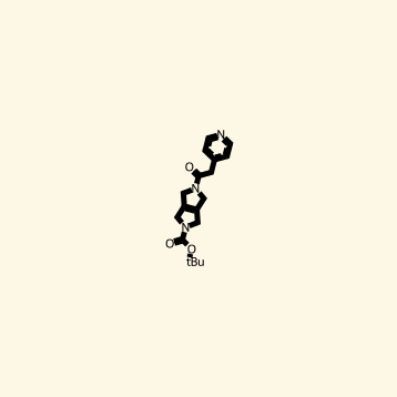 CC(C)(C)OC(=O)N1CC2=C(CN(C(=O)Cc3ccncc3)C2)C1